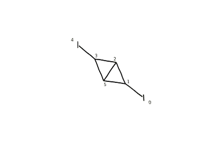 IC1C2C(I)C12